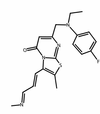 CCN(Cc1cc(=O)n2c(/C=C/C=N/C)c(C)sc2n1)c1ccc(F)cc1